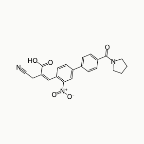 N#CCC(=Cc1ccc(-c2ccc(C(=O)N3CCCC3)cc2)cc1[N+](=O)[O-])C(=O)O